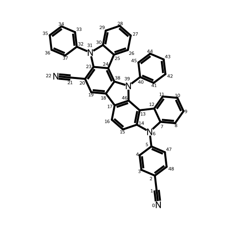 N#Cc1ccc(-n2c3ccccc3c3c2ccc2c4cc(C#N)c5c(c6ccccc6n5-c5ccccc5)c4n(-c4ccccc4)c23)cc1